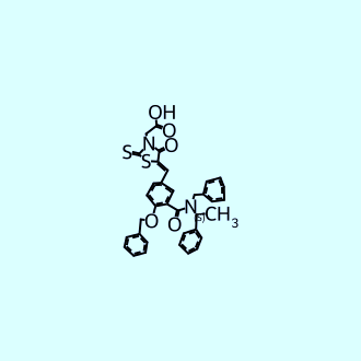 C[C@@H](c1ccccc1)N(Cc1ccccc1)C(=O)c1cc(C=C2SC(=S)N(CC(=O)O)C2=O)ccc1OCc1ccccc1